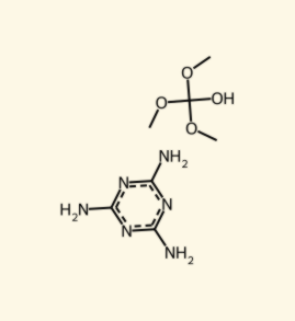 COC(O)(OC)OC.Nc1nc(N)nc(N)n1